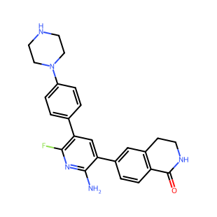 Nc1nc(F)c(-c2ccc(N3CCNCC3)cc2)cc1-c1ccc2c(c1)CCNC2=O